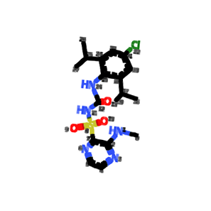 CNc1nccnc1S(=O)(=O)NC(=O)Nc1c(C(C)C)cc(Cl)cc1C(C)C